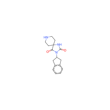 O=C1NC2(CCNCC2)C(=O)N1C1Cc2ccccc2C1